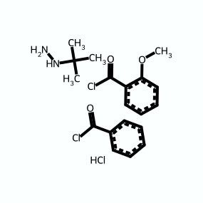 CC(C)(C)NN.COc1ccccc1C(=O)Cl.Cl.O=C(Cl)c1ccccc1